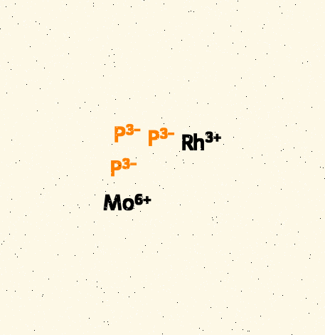 [Mo+6].[P-3].[P-3].[P-3].[Rh+3]